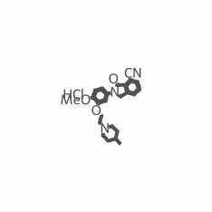 COc1ccc(N2Cc3cccc(C#N)c3C2=O)cc1OCCN1CCC(C)CC1.Cl